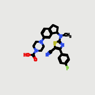 CN(c1nc(-c2ccc(F)cc2)c(C#N)s1)C1CCc2ccc(N3CCN(C(=O)O)CC3)cc21